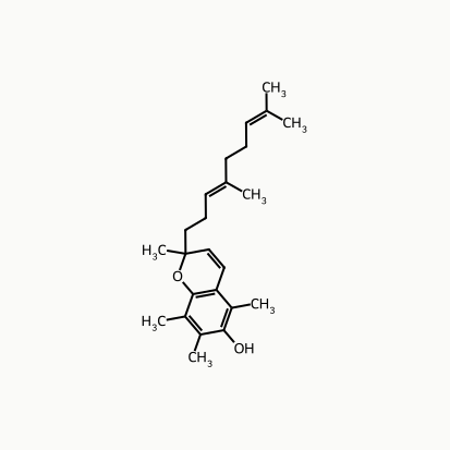 CC(C)=CCC/C(C)=C/CCC1(C)C=Cc2c(C)c(O)c(C)c(C)c2O1